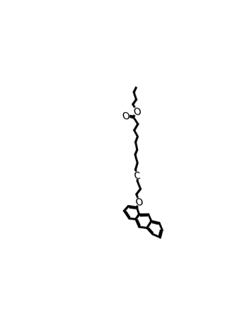 CCCCOC(=O)CCCCCCCCCCCCOc1cccc2cc3ccccc3cc12